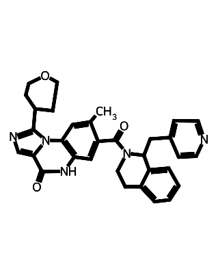 Cc1cc2c(cc1C(=O)N1CCc3ccccc3C1Cc1ccncc1)[nH]c(=O)c1cnc(C3CCOCC3)n12